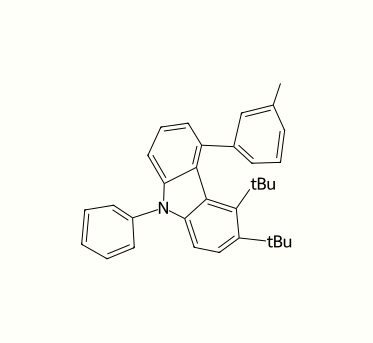 Cc1cccc(-c2cccc3c2c2c(C(C)(C)C)c(C(C)(C)C)ccc2n3-c2ccccc2)c1